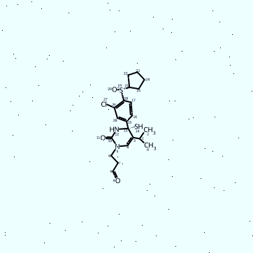 CC(C)C1=CN(CCC=O)C(=O)N[C@@]1(S)c1ccc([S+]([O-])C2CCCC2)c(Cl)c1